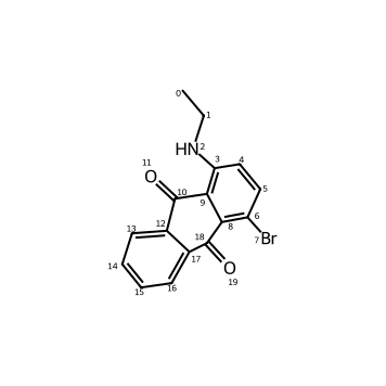 CCNc1ccc(Br)c2c1C(=O)c1ccccc1C2=O